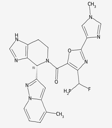 Cc1cccn2nc([C@@H]3c4nc[nH]c4CCN3C(=O)c3oc(-c4cn(C)cn4)nc3C(F)P)cc12